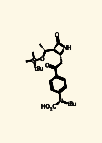 C[C@@H](O[Si](C)(C)C(C)(C)C)[C@H]1C(=O)N[C@@H]1CC(=O)c1ccc(N(C(=O)O)C(C)(C)C)cc1